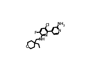 CCC1(CNc2nc(-c3ccnc(N)c3)c(Cl)cc2F)CCOCC1